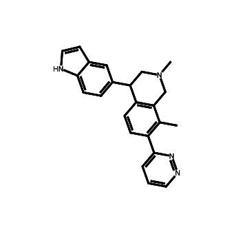 Cc1c(-c2cccnn2)ccc2c1CN(C)CC2c1ccc2[nH]ccc2c1